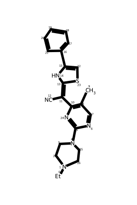 CCN1CCN(c2ncc(C)c(/C(C#N)=C3/NC(c4ccccc4)=CS3)n2)CC1